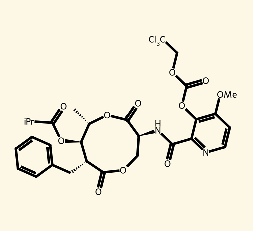 COc1ccnc(C(=O)N[C@H]2COC(=O)[C@H](Cc3ccccc3)[C@@H](OC(=O)C(C)C)[C@H](C)OC2=O)c1OC(=O)OCC(Cl)(Cl)Cl